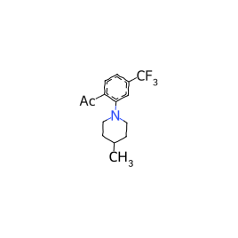 CC(=O)c1ccc(C(F)(F)F)cc1N1CCC(C)CC1